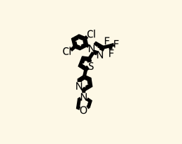 FC(F)(F)c1cn(-c2cc(Cl)ccc2Cl)c(-c2ccc(-c3ccc(N4CCOCC4)nc3)s2)n1